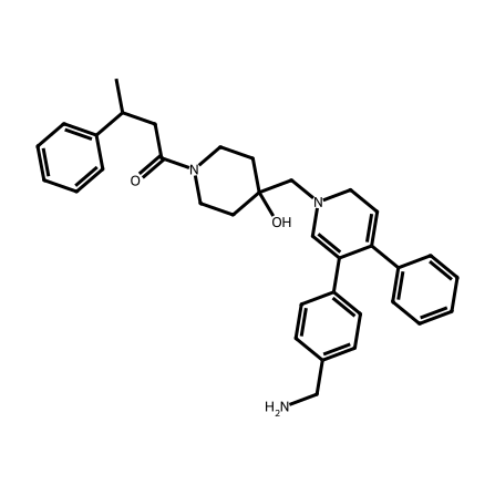 CC(CC(=O)N1CCC(O)(CN2C=C(c3ccc(CN)cc3)C(c3ccccc3)=CC2)CC1)c1ccccc1